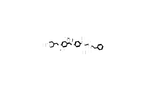 COc1cc2c(Oc3ccc(NC(O)C(=O)NCCc4ccccc4)cc3F)ncnc2cc1OCC1CCNCC1